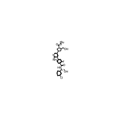 CC(C)(C)OC(=O)N1CC(c2cnc(N)c(-c3ccc(C(=O)N[C@H](CO)c4cccc(Cl)c4)c(F)c3)c2)CC1CO